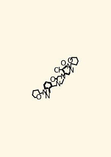 O=C1CN(c2cnn(C3CCCCO3)c(=O)c2Cl)CCN1Cc1cccc2c1cnn2C1CCCCO1